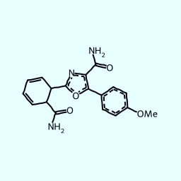 COc1ccc(-c2oc(C3C=CC=CC3C(N)=O)nc2C(N)=O)cc1